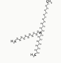 CCCCCCCCCCCCC[CH2][Al]([CH2]CCCCCCCCC)[CH2]CCCCCCCCCCC